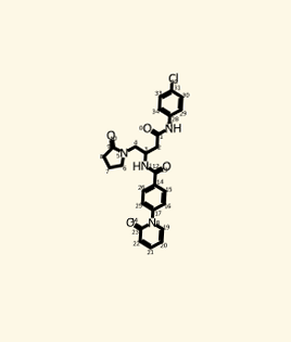 O=C(CC(CN1CCCC1=O)NC(=O)c1ccc(-n2ccccc2=O)cc1)Nc1ccc(Cl)cc1